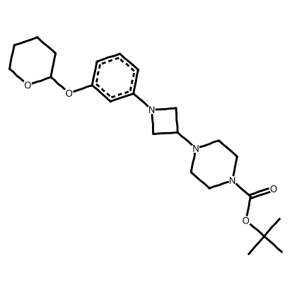 CC(C)(C)OC(=O)N1CCN(C2CN(c3cccc(OC4CCCCO4)c3)C2)CC1